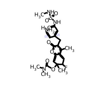 C=C(/C=C(\C=C/N)Cc1c(C)c2c(oc1=O)=CC(C)(OC(=O)N(C)C)C(F)C=2)NS(=O)(=O)NC